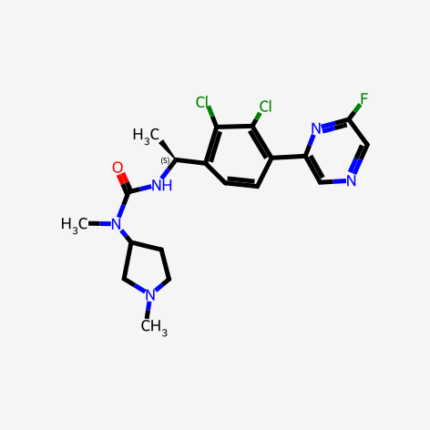 C[C@H](NC(=O)N(C)C1CCN(C)C1)c1ccc(-c2cncc(F)n2)c(Cl)c1Cl